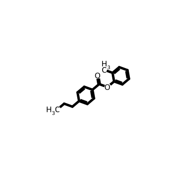 CCCc1ccc(C(=O)Oc2ccccc2C)cc1